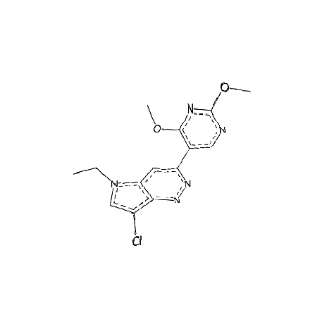 CCn1cc(Cl)c2nnc(-c3cnc(OC)nc3OC)cc21